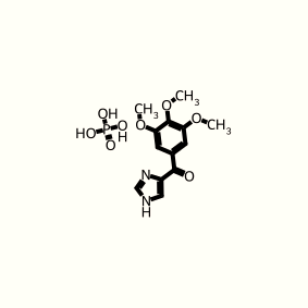 COc1cc(C(=O)c2c[nH]cn2)cc(OC)c1OC.O=P(O)(O)O